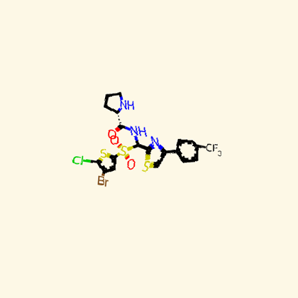 O=C(NC(c1nc(-c2ccc(C(F)(F)F)cc2)cs1)S(=O)(=O)c1cc(Br)c(Cl)s1)[C@@H]1CCCN1